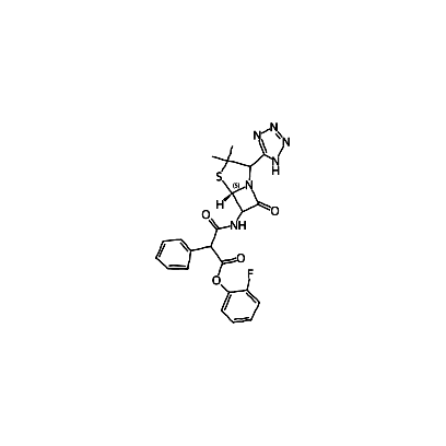 CC1(C)S[C@H]2C(NC(=O)C(C(=O)Oc3ccccc3F)c3ccccc3)C(=O)N2C1c1nnn[nH]1